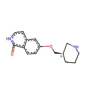 O=c1[nH]ccc2cc(OC[C@@H]3CCCNC3)ccc12